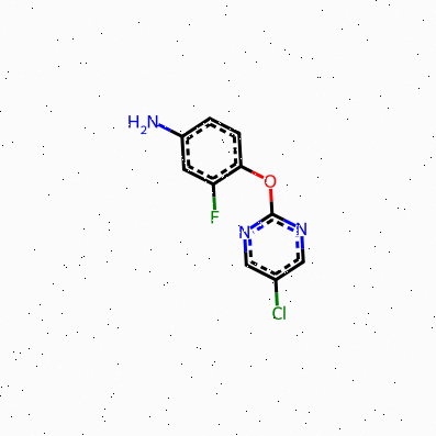 Nc1ccc(Oc2ncc(Cl)cn2)c(F)c1